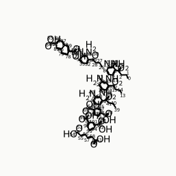 CCCC(=O)c1cccc(N)c1N.CCCC(=O)c1cccc(N)c1N.CCCC(=O)c1cccc(N)c1N.CCCC(=O)c1cccc(N)c1N.O=C(O)C=CC=CC(=O)O.O=C(O)c1ccc(C(=O)O)cc1.O=C(O)c1ccc2cc(C(=O)O)ccc2c1.O=C(O)c1cccc(C(=O)O)c1